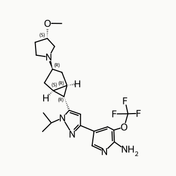 CO[C@H]1CCN([C@H]2C[C@@H]3[C@H](C2)[C@H]3c2cc(-c3cnc(N)c(OC(F)(F)F)c3)nn2C(C)C)C1